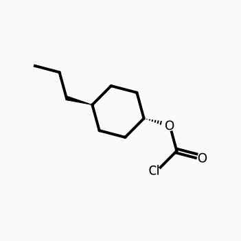 CCC[C@H]1CC[C@H](OC(=O)Cl)CC1